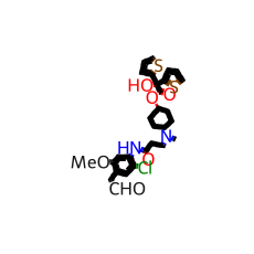 COc1cc(NC(=O)CCN(C)[C@H]2CC[C@H](OC(=O)C(O)(c3cccs3)c3cccs3)CC2)c(Cl)cc1CC=O